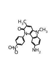 Cc1cc2c(c3cc(N)ccc3n2C)n(-c2ccc([N+](=O)[O-])cc2)c1=O